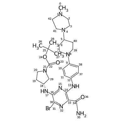 CN1CCN(C2CCN(c3ccc(Nc4nc(N[C@@H]5CCN(C(=O)OC(C)(C)C)C5)c(Br)nc4C(N)=O)cc3)CC2)CC1